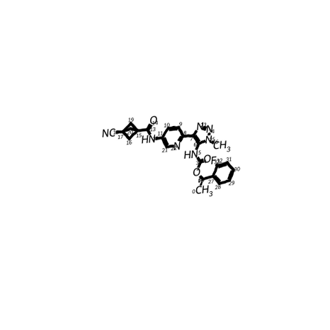 C[C@@H](OC(=O)Nc1c(-c2ccc(NC(=O)C34CC(C#N)(C3)C4)cn2)nnn1C)c1ccccc1F